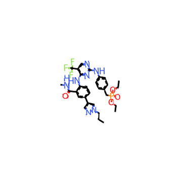 CCCn1cc(-c2ccc(Nc3nc(Nc4ccc(CP(=O)(OCC)OCC)cc4)ncc3C(F)(F)F)c(C(=O)NC)c2)cn1